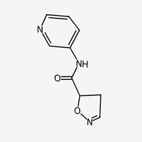 O=C(Nc1cccnc1)C1CC=NO1